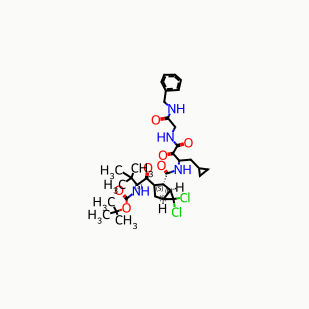 CC(C)(C)OC(=O)N[C@H](C(=O)C1C[C@H]2[C@@H]([C@H]1C(=O)NC(CC1CC1)C(=O)C(=O)NCC(=O)NCc1ccccc1)C2(Cl)Cl)C(C)(C)C